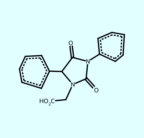 O=C(O)CN1C(=O)N(c2ccccc2)C(=O)C1c1ccccc1